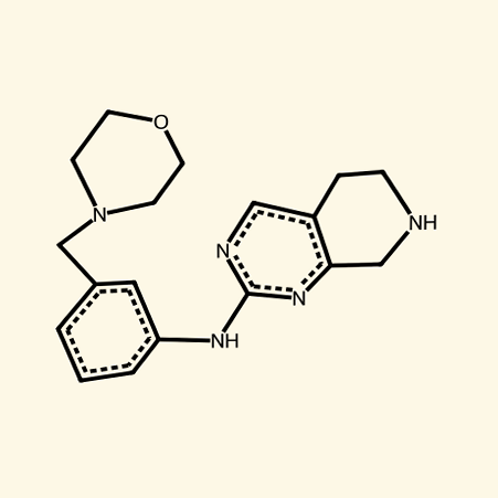 c1cc(CN2CCOCC2)cc(Nc2ncc3c(n2)CNCC3)c1